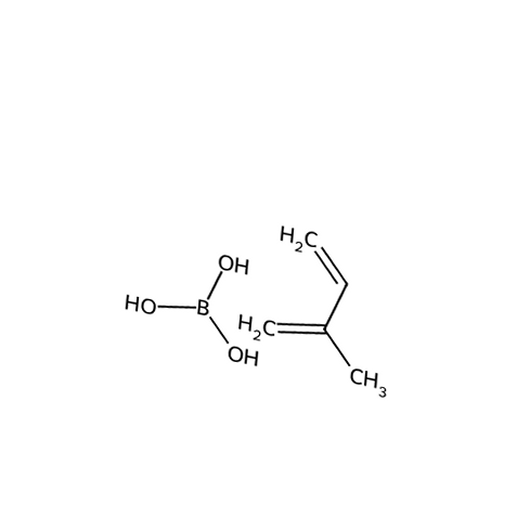 C=CC(=C)C.OB(O)O